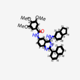 COc1cc(C(=O)Nc2ccc3nc(-c4cccc5ccccc45)nc(Nc4ccc5c(c4)CCC5)c3c2)cc(OC)c1OC